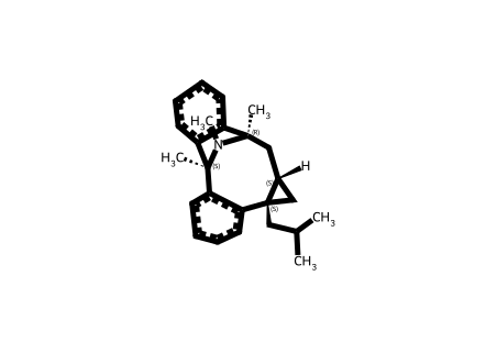 CC(C)C[C@]12C[C@H]1C[C@]1(C)c3ccccc3[C@](C)(c3ccccc32)N1C